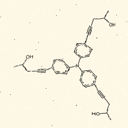 CC(O)CC#Cc1ccc(N(c2ccc(C#CCC(C)O)cc2)c2ccc(C#CCC(C)O)cc2)cc1